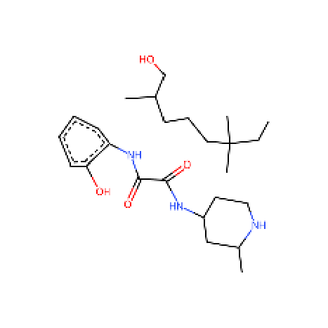 CC1CC(NC(=O)C(=O)Nc2ccccc2O)CCN1.CCC(C)(C)CCCC(C)CO